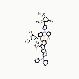 CCC1=CC(C)(c2ccc(N3c4ccc(C5(C)C=C(CC)CC(C)C5)cc4B4c5cc6c(cc5Oc5cccc3c54)-c3cc4ccc(N(c5ccccc5)c5ccccc5)cc4cc3C6(C)C)cc2)CC(C)C1